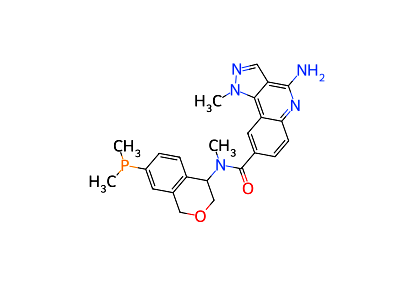 CN(C(=O)c1ccc2nc(N)c3cnn(C)c3c2c1)C1COCc2cc(P(C)C)ccc21